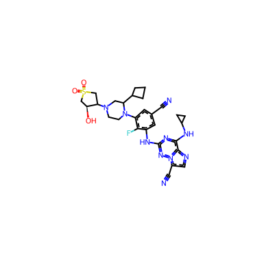 N#Cc1cc(Nc2nc(NC3CC3)c3ncc(C#N)n3n2)c(F)c(N2CCN(C3CS(=O)(=O)C[C@@H]3O)CC2C2CCC2)c1